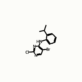 CC(C)c1ccccc1Nc1nc(Cl)ncc1Br